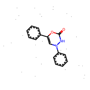 O=C1NN(c2ccccc2)C=C(c2ccccc2)O1